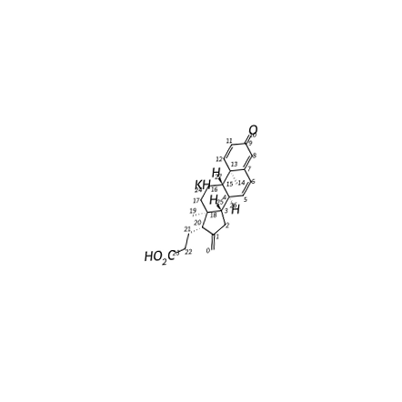 C=C1C[C@H]2[C@@H]3C=CC4=CC(=O)C=C[C@]4(C)[C@H]3CC[C@]2(C)[C@H]1CCC(=O)O.[KH]